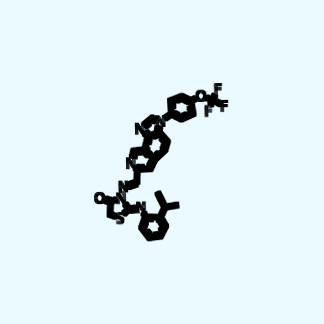 CC(C)c1ccccc1/N=C1\SCC(=O)N1/N=C/c1cc2ccc3c(ncn3-c3ccc(OC(F)(F)F)cc3)c2cn1